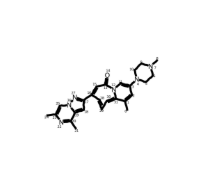 CC1=CC(N2CCN(C)CC2)=CN2C(=O)\C=C(c3cc4c(C)nc(C)cn4n3)/C=C/C=C\12